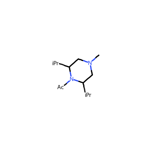 CC(=O)N1C(C(C)C)CN(C)CC1C(C)C